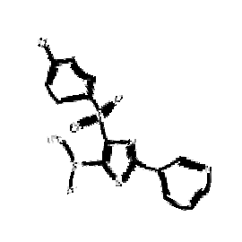 CC(C)[S+]([O-])c1sc(-c2cccnc2)nc1S(=O)(=O)c1ccc(Cl)cc1